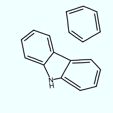 c1ccc2c(c1)[nH]c1ccccc12.c1ccccc1